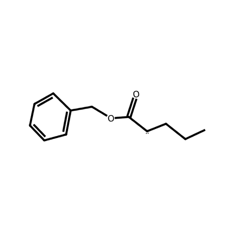 CCC[C]C(=O)OCc1ccccc1